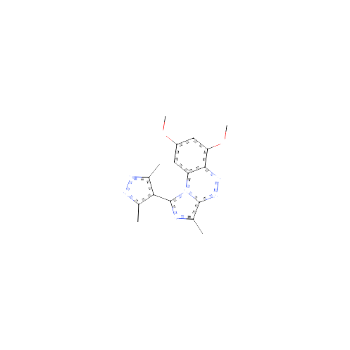 COc1cc(OC)c2nnc3c(C)nc(-c4c(C)n[nH]c4C)n3c2c1